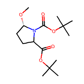 CO[C@H]1CCC(C(=O)OC(C)(C)C)N1C(=O)OC(C)(C)C